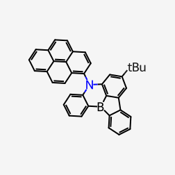 CC(C)(C)c1cc2c3c(c1)N(c1ccc4ccc5cccc6ccc1c4c56)c1ccccc1B3c1ccccc1-2